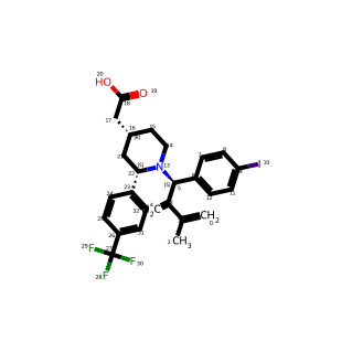 C=C(C)C(=C)[C@H](c1ccc(I)cc1)N1CC[C@@H](CC(=O)O)C[C@H]1c1ccc(C(F)(F)F)cc1